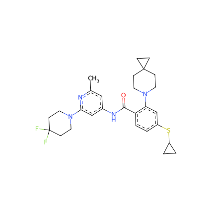 Cc1cc(NC(=O)c2ccc(SC3CC3)cc2N2CCC3(CC2)CC3)cc(N2CCC(F)(F)CC2)n1